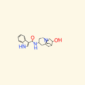 O=C(NC1CC2CC3CC(C1)N2CC3O)c1c[nH]c2ccccc12